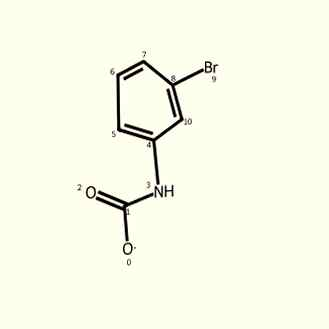 [O]C(=O)Nc1cccc(Br)c1